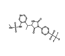 CNS(=O)(=O)Nc1cnccc1C(C)C1NC(=O)N(c2ccc(S(=O)(=O)C(F)(F)F)cc2)C1=O